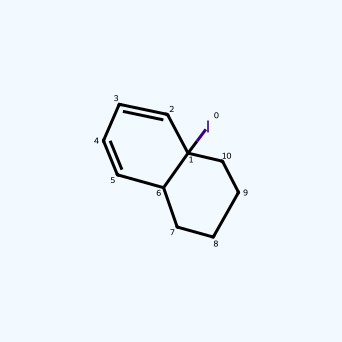 IC12C=CC=CC1CCCC2